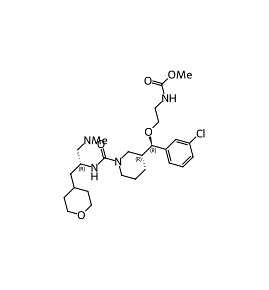 CNC[C@@H](CC1CCOCC1)NC(=O)N1CCC[C@@H]([C@@H](OCCNC(=O)OC)c2cccc(Cl)c2)C1